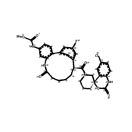 COC(=O)Nc1ccc2c(c1)NC(=O)CCCC[C@H](C(=O)N1CCC[C@@]3(C1)OC(=O)Nc1ccc(Cl)cc13)c1cc(F)cc-2c1